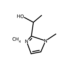 C.CC(O)c1nccn1C